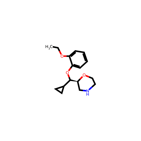 CCOc1ccccc1OC(C1CC1)[C@@H]1CNCCO1